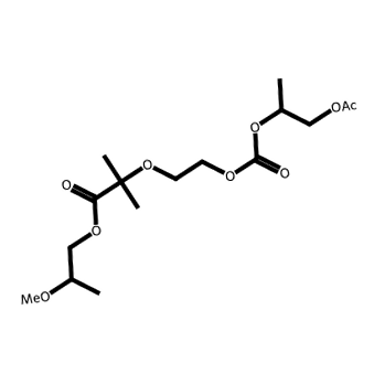 COC(C)COC(=O)C(C)(C)OCCOC(=O)OC(C)COC(C)=O